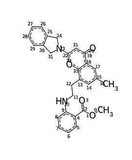 COC(=O)c1ccccc1NCCc1cc(C)cc2c(=O)cc(N3Cc4ccccc4C3)oc12